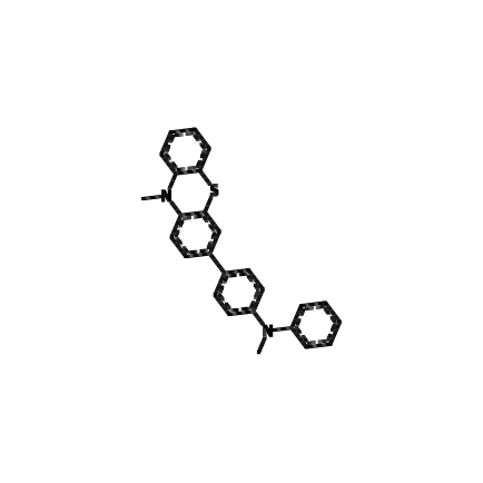 CN(c1ccccc1)c1ccc(-c2ccc3c(c2)Sc2ccccc2N3C)cc1